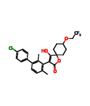 Cc1ccc(-c2ccc(Cl)cc2)c(C)c1C1=C(O)C2(CCC(OCC(F)(F)F)CC2)OC1=O